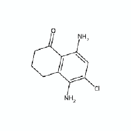 Nc1cc(Cl)c(N)c2c1C(=O)CCC2